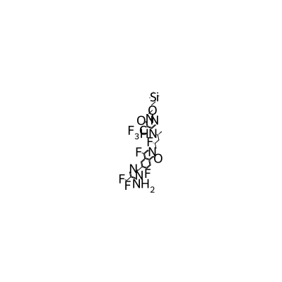 C[C@@H](C[C@@H](F)Cn1cc(F)c2cc(-c3ncc(C(F)F)c(N)n3)c(F)cc2c1=O)Nc1cnn(COCC[Si](C)(C)C)c(=O)c1C(F)(F)F